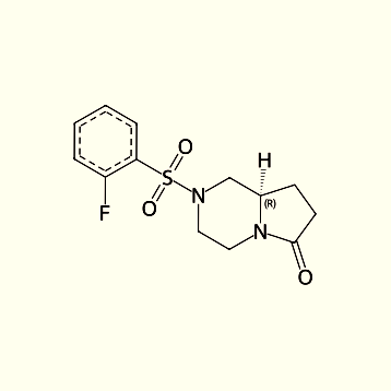 O=C1CC[C@@H]2CN(S(=O)(=O)c3ccccc3F)CCN12